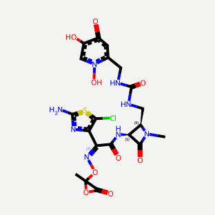 CN1C(=O)[C@@H](NC(=O)/C(=N\OC2(C)OC2=O)c2nc(N)sc2Cl)[C@H]1CNC(=O)NCc1cc(=O)c(O)cn1O